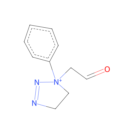 O=CC[N+]1(c2ccccc2)CCN=N1